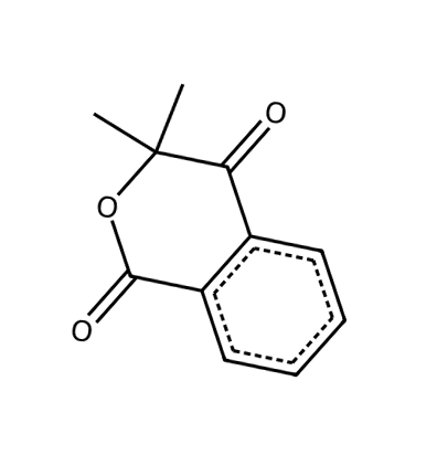 CC1(C)OC(=O)c2ccccc2C1=O